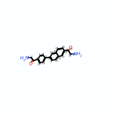 NCC(=O)c1ccc(-c2ccc3cc(C(=O)CN)ccc3c2)cc1